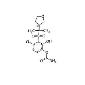 CC(C)([C@H]1CCOC1)S(=O)(=O)c1c(Cl)ccc(OC(N)=O)c1O